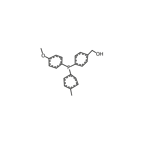 COc1ccc(P(c2ccc(C)cc2)c2ccc(CO)cc2)cc1